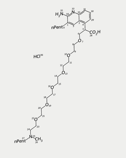 CCCCCc1cc2c(C(COCCOCCOCCOCCOCCOCCN(C)CCCCC)C(=O)O)cccc2nc1N.Cl